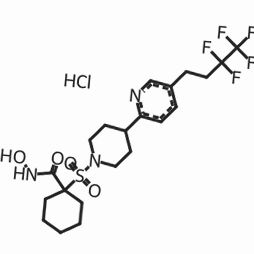 Cl.O=C(NO)C1(S(=O)(=O)N2CCC(c3ccc(CCC(F)(F)C(F)(F)F)cn3)CC2)CCCCC1